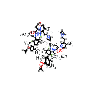 CCOC(=O)C[C@H](NC(=O)C(CC(C)C)n1cc(CCN2CCC2)c(C(F)(F)F)cc1=O)c1c(F)c(-c2c(C)ccc(OC3CC3)c2C)cc(C(F)(F)F)c1F.Cc1ccc(OC2CC2)c(C)c1-c1cc(C(F)(F)F)c(F)c([C@H](CC(=O)O)NC(=O)C(CC(C)C)n2cc(CCN3CCC3)c(C(F)(F)F)cc2=O)c1F